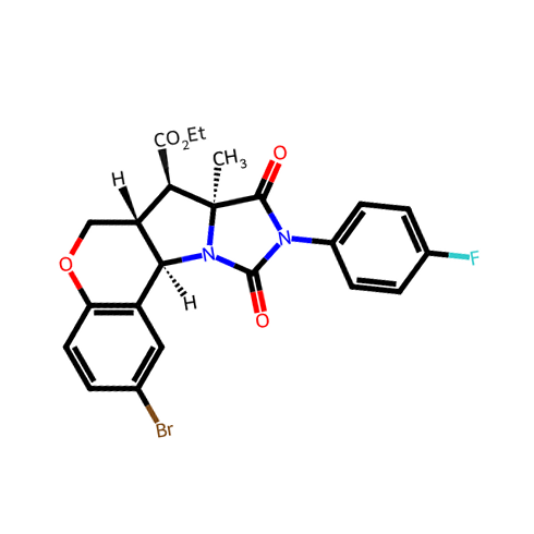 CCOC(=O)[C@@H]1[C@H]2COc3ccc(Br)cc3[C@@H]2N2C(=O)N(c3ccc(F)cc3)C(=O)[C@]12C